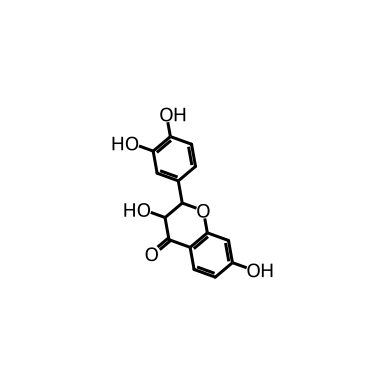 O=C1c2ccc(O)cc2OC(c2ccc(O)c(O)c2)C1O